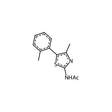 CC(=O)Nc1nc(C)c(-c2ccccc2C)s1